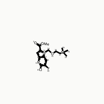 COC(=O)c1cc2nc(Cl)c(F)cc2n1COCC[Si](C)(C)C